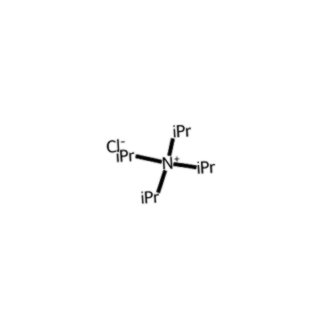 CC(C)[N+](C(C)C)(C(C)C)C(C)C.[Cl-]